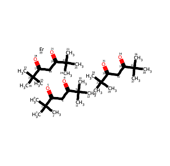 CC(C)(C)C(=O)CC(=O)C(C)(C)C.CC(C)(C)C(=O)CC(=O)C(C)(C)C.CC(C)(C)C(=O)CC(=O)C(C)(C)C.[Er]